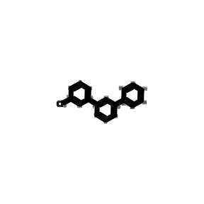 Clc1cccc(-c2[c]ccc(-c3ccccc3)c2)c1